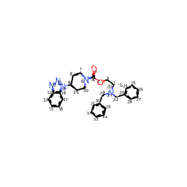 C[C@@H](COC(=O)N1CCC(n2nnc3ccccc32)CC1)N(Cc1ccccc1)Cc1ccccc1